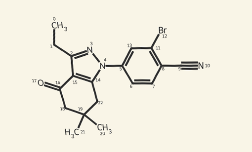 CCc1nn(-c2ccc(C#N)c(Br)c2)c2c1C(=O)CC(C)(C)C2